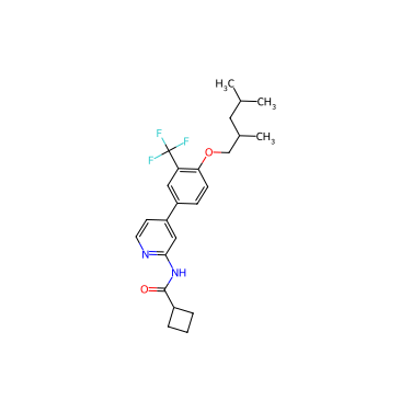 CC(C)CC(C)COc1ccc(-c2ccnc(NC(=O)C3CCC3)c2)cc1C(F)(F)F